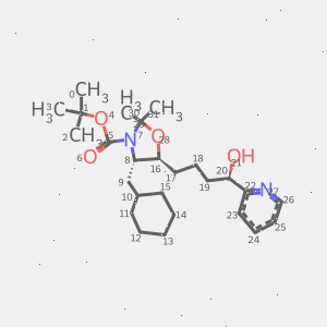 CC(C)(C)OC(=O)N1[C@@H](CC2CCCCC2)[C@H](CCC[C@@H](O)c2ccccn2)OC1(C)C